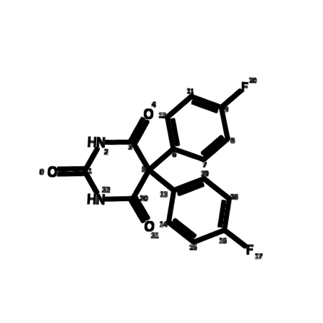 O=C1NC(=O)C(c2ccc(F)cc2)(c2ccc(F)cc2)C(=O)N1